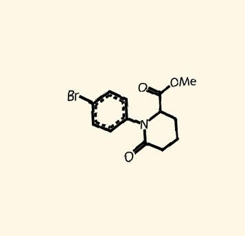 COC(=O)C1CCCC(=O)N1c1ccc(Br)cc1